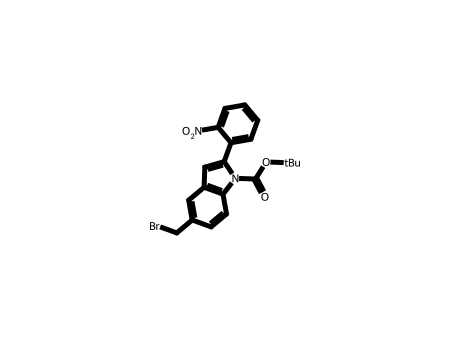 CC(C)(C)OC(=O)n1c(-c2ccccc2[N+](=O)[O-])cc2cc(CBr)ccc21